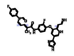 C/C(=C\C=C/N(C=O)c1ccc(F)cc1)C(=O)Nc1ccc(OC2=CC(c3c[nH]cn3)=CN/C2=C\C=N)c(F)c1